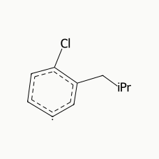 CC(C)Cc1c[c]ccc1Cl